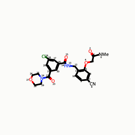 CNC(=O)COc1cc(C#N)ccc1CNC(=O)c1cc(Cl)cc(C(=O)N2CCOCC2)c1